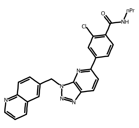 CCCNC(=O)c1ccc(-c2ccc3nnn(Cc4ccc5ncccc5c4)c3n2)cc1Cl